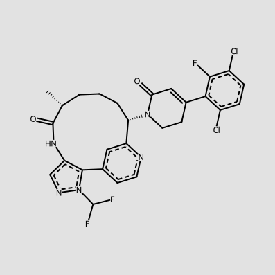 C[C@@H]1CCC[C@H](N2CCC(c3c(Cl)ccc(Cl)c3F)=CC2=O)c2cc(ccn2)-c2c(cnn2C(F)F)NC1=O